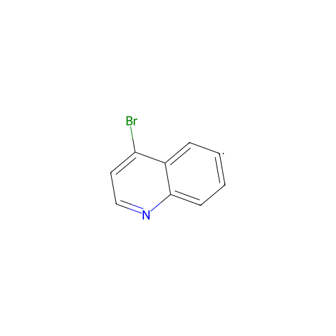 Brc1ccnc2cc[c]cc12